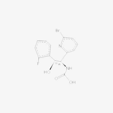 O=C(O)N[C@H](c1cccc(Br)n1)[C@@H](O)c1ccccc1F